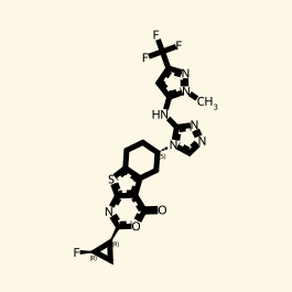 Cn1nc(C(F)(F)F)cc1Nc1nncn1[C@H]1CCc2sc3nc([C@H]4C[C@H]4F)oc(=O)c3c2C1